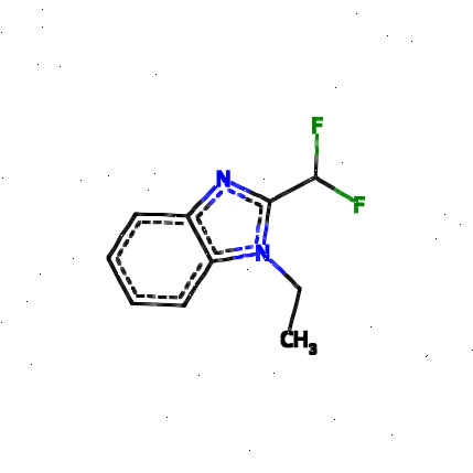 CCn1c(C(F)F)nc2ccccc21